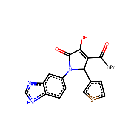 CCCC(=O)C1=C(O)C(=O)N(c2ccc3[nH]cnc3c2)C1c1ccsc1